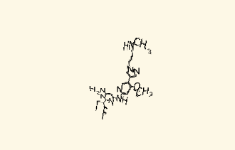 CNCCn1cc(-c2cnc(Nc3cc(N)nc(C(F)F)n3)cc2OC)cn1